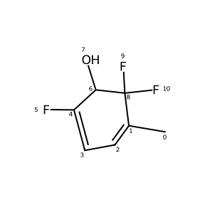 CC1=CC=C(F)C(O)C1(F)F